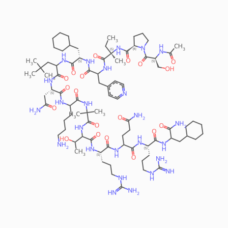 CC[C@](C)(NC(=O)[C@H]1CCCN1C(=O)[C@H](CO)NC(C)=O)C(=O)NC(Cc1ccncc1)C(=O)N[C@@H](CC1CCCCC1)C(=O)NC(CC(C)(C)C)C(=O)N[C@@H](CC(N)=O)C(=O)NC(CCCCN)C(=O)NC(C)(C)C(=O)NC(C(=O)N[C@@H](CCCNC(=N)N)C(=O)NC(CCC(N)=O)C(=O)N[C@@H](CCCNC(=N)N)C(=O)NC(CC1CCCCC1)C(N)=O)C(C)O